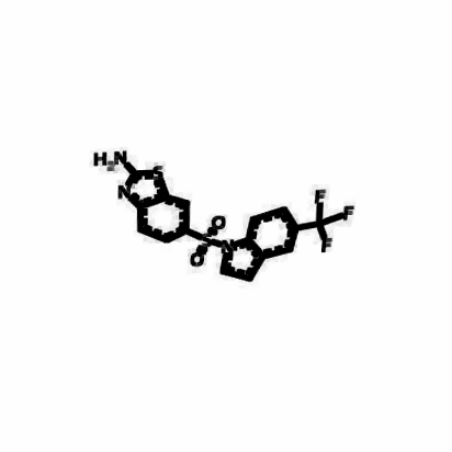 Nc1nc2ccc(S(=O)(=O)n3ccc4cc(C(F)(F)F)ccc43)cc2s1